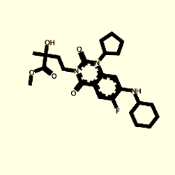 COC(=O)C(C)(O)CCn1c(=O)c2cc(F)c(NC3CCCCC3)cc2n(C2CCCC2)c1=O